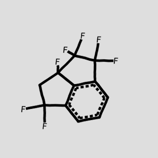 FC1(F)CC2(F)c3c1cccc3C(F)(F)C2(F)F